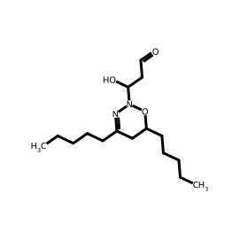 CCCCCC1=NN(C(O)CC=O)OC(CCCCC)C1